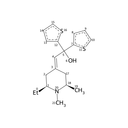 CC[C@H]1C/C(=C/C(O)(c2cccs2)c2cccs2)C[C@@H](C)N1C